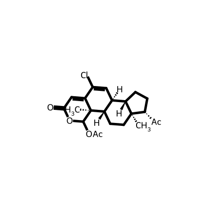 CC(=O)OC1OC(=O)C=C2C(Cl)=C[C@H]3[C@@H]4CC[C@H](C(C)=O)[C@@]4(C)CC[C@@H]3[C@]21C